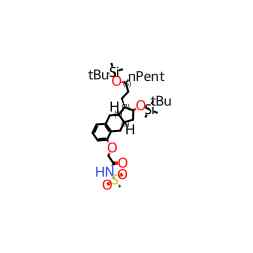 CCCCC[C@@H](CC[C@H]1C(O[Si](C)(C)C(C)(C)C)C[C@@H]2Cc3c(cccc3OCC(=O)NS(C)(=O)=O)C[C@@H]21)O[Si](C)(C)C(C)(C)C